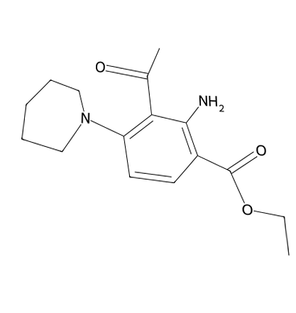 CCOC(=O)c1ccc(N2CCCCC2)c(C(C)=O)c1N